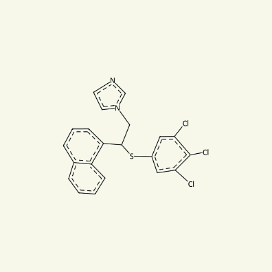 Clc1cc(SC(Cn2ccnc2)c2cccc3ccccc23)cc(Cl)c1Cl